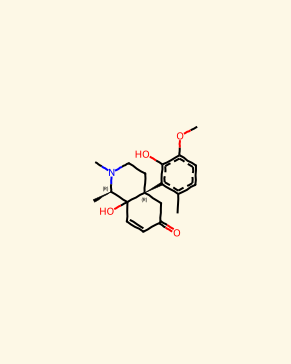 COc1ccc(C)c([C@]23CCN(C)[C@H](C)C2(O)C=CC(=O)C3)c1O